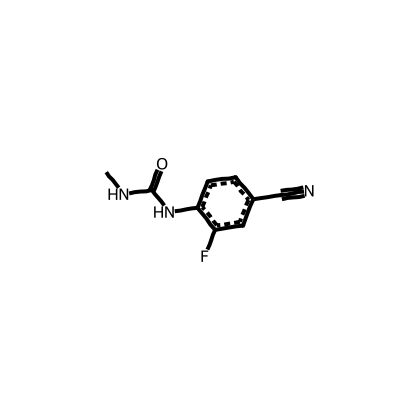 CNC(=O)Nc1ccc(C#N)cc1F